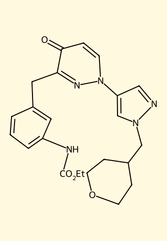 CCOC(=O)Nc1cccc(Cc2nn(-c3cnn(CC4CCOCC4)c3)ccc2=O)c1